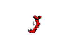 c1ccc(Nc2cccc3c2Nc2cc(Cc4ccc5c(c4)Nc4c(cccc4Nc4ccc(-c6nc(-c7ccccc7)nc(-c7ccccc7)n6)cc4)C5)ccc2C3)cc1